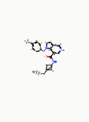 O=C(O)CC12CC(NC(=O)c3cncc4ccn(Cc5ccc(C(F)(F)F)cc5)c34)(C1)C2